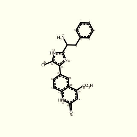 NC(Cc1ccccc1)c1nc(-c2ccc3[nH]c(=O)cc(C(=O)O)c3c2)c(Cl)[nH]1